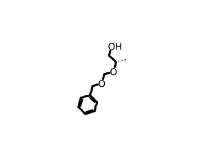 C[C@@H](CO)OCOCc1ccccc1